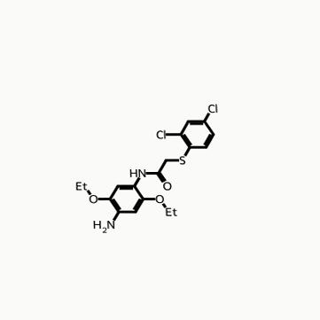 CCOc1cc(NC(=O)CSc2ccc(Cl)cc2Cl)c(OCC)cc1N